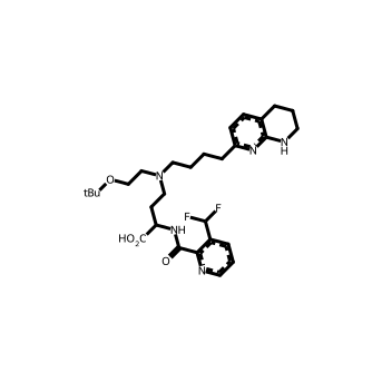 CC(C)(C)OCCN(CCCCc1ccc2c(n1)NCCC2)CCC(NC(=O)c1ncccc1C(F)F)C(=O)O